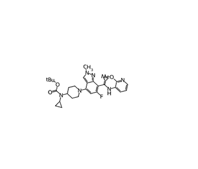 COc1ncccc1NC(=O)c1c(F)cc(N2CCC(N(C(=O)OC(C)(C)C)C3CC3)CC2)c2cn(C)nc12